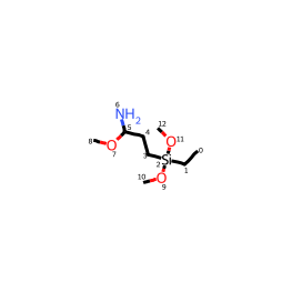 CC[Si](CCC(N)OC)(OC)OC